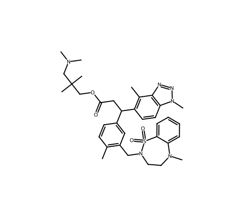 Cc1ccc(C(CC(=O)OCC(C)(C)CN(C)C)c2ccc3c(nnn3C)c2C)cc1CN1CCN(C)c2ccccc2S1(=O)=O